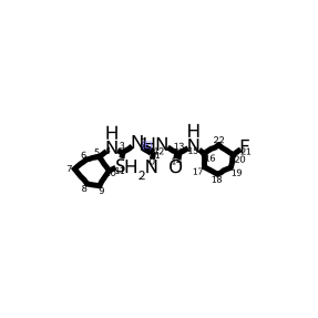 N/C(=N\C1NC2CCCCC2S1)NC(=O)NC1CCCC(F)C1